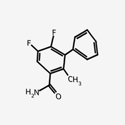 Cc1c(C(N)=O)cc(F)c(F)c1-c1ccccc1